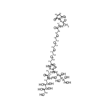 CC(=O)[C@H](CNC(=O)CCOCCOCCOCCOCCC(=O)N[C@@H](CCC(=O)NC[C@H](O)[C@@H](O)[C@H](O)[C@H](O)CO)C(=O)NC[C@H](O)[C@@H](O)[C@H](O)[C@H](O)CO)N1C(=O)C=CC1=O